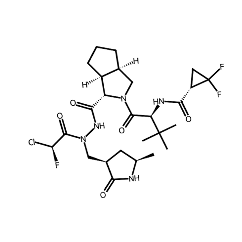 C[C@@H]1C[C@H](CN(NC(=O)[C@@H]2[C@H]3CCC[C@H]3CN2C(=O)[C@@H](NC(=O)[C@@H]2CC2(F)F)C(C)(C)C)C(=O)[C@@H](F)Cl)C(=O)N1